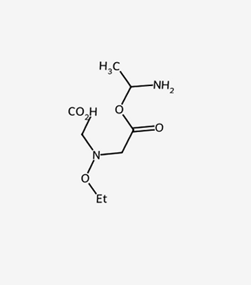 CCON(CC(=O)O)CC(=O)OC(C)N